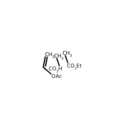 C=COC(C)=O.CC(=O)O.CCOC(C)=O